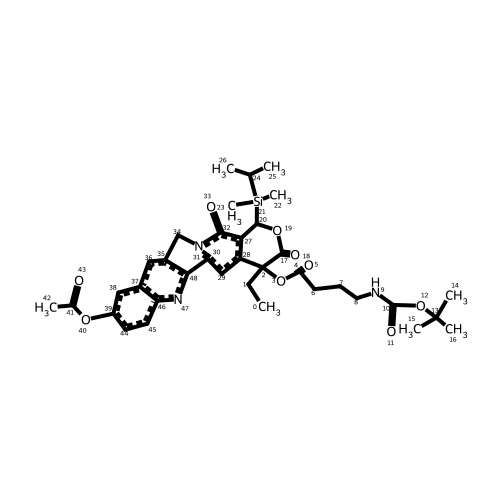 CCC1(OC(=O)CCCNC(=O)OC(C)(C)C)C(=O)OC([Si](C)(C)C(C)C)c2c1cc1n(c2=O)Cc2cc3cc(OC(C)=O)ccc3nc2-1